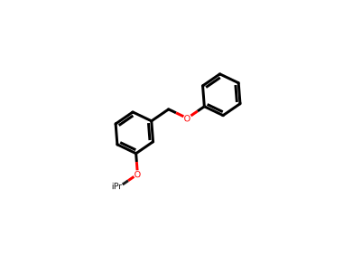 CC(C)Oc1cccc(COc2ccccc2)c1